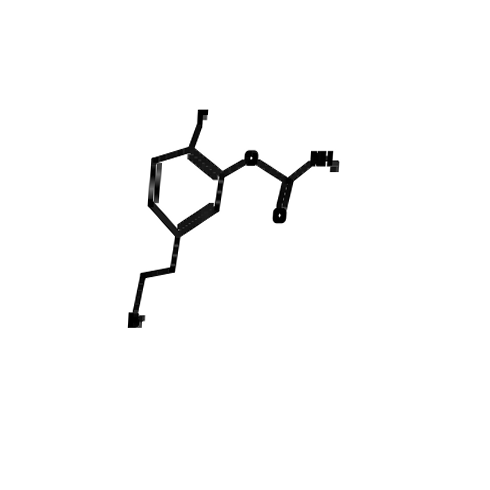 NC(=O)Oc1cc(CCBr)ccc1F